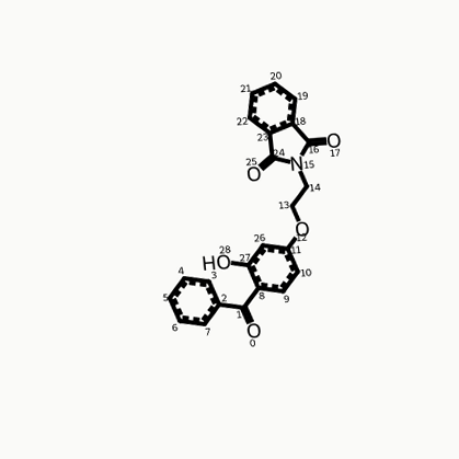 O=C(c1ccccc1)c1ccc(OCCN2C(=O)c3ccccc3C2=O)cc1O